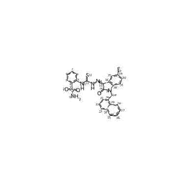 NS(=O)(=O)c1ccccc1NC(=S)NN=C1C(=O)N(Cc2cccc3ccccc23)c2ccc(F)cc21